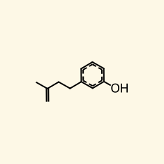 C=C(C)CCc1cccc(O)c1